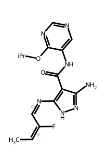 C/C=C(F)\C=N/c1[nH]nc(N)c1C(=O)Nc1cncnc1OC(C)C